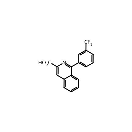 O=C(O)c1cc2ccccc2c(-c2cccc(C(F)(F)F)c2)n1